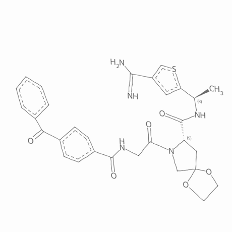 C[C@@H](NC(=O)[C@@H]1CC2(CN1C(=O)CNC(=O)c1ccc(C(=O)c3ccccc3)cc1)OCCO2)c1cc(C(=N)N)cs1